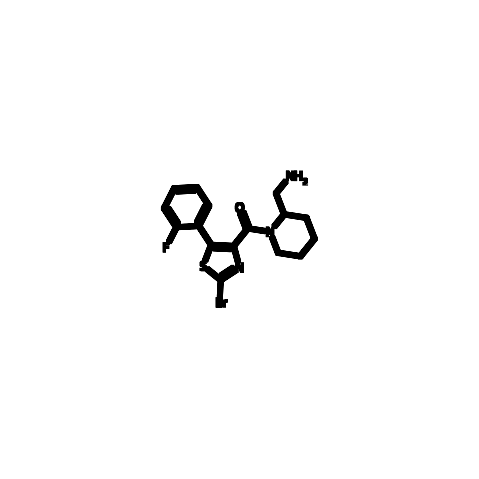 NCC1CCCCN1C(=O)c1nc(Br)sc1-c1ccccc1F